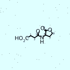 O=C(O)CCC(=O)NC1CCOC1=O